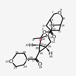 CCOC(=O)N1C2COCC1CC(N1C[C@@H]3C(C(=O)N4CCOCC4)[C@@H]3C1)C2